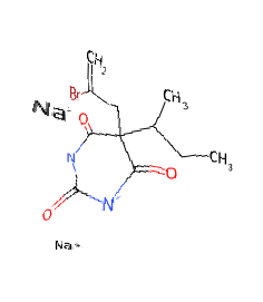 C=C(Br)CC1(C(C)CC)C(=O)[N-]C(=O)[N-]C1=O.[Na+].[Na+]